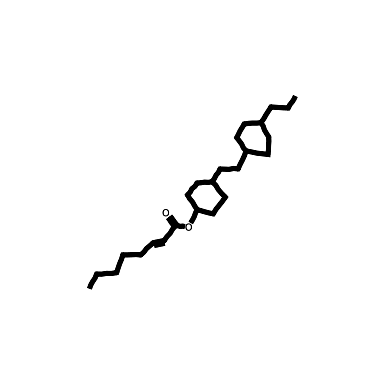 CCCCCC=CC(=O)OC1CCC(CCC2CCC(CCC)CC2)CC1